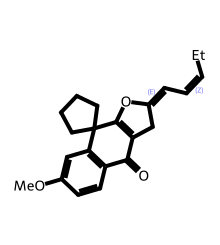 CC/C=C\C=C1/CC2=C(O1)C1(CCCC1)c1cc(OC)ccc1C2=O